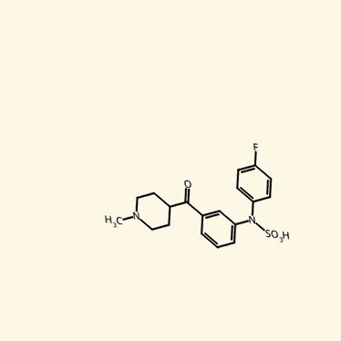 CN1CCC(C(=O)c2cccc(N(c3ccc(F)cc3)S(=O)(=O)O)c2)CC1